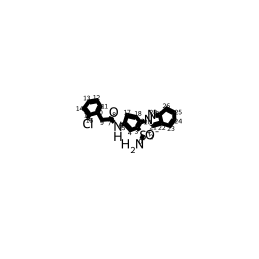 N[S+]([O-])c1cc(NC(=O)Cc2ccccc2Cl)ccc1-n1cc2ccccc2n1